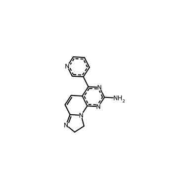 Nc1nc(-c2cccnc2)c2c(n1)N1CCN=C1C=C2